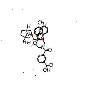 Cc1ccc(C2(CCN3[C@@H]4CC[C@H]3C[C@@H](n3c(C)nc5ccccc53)C4)CCN(C(=O)c3cccc(C(=O)O)c3)CC2)cc1